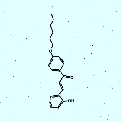 CCCCCCOc1ccc(C(=O)C=Cc2ccccc2O)cc1